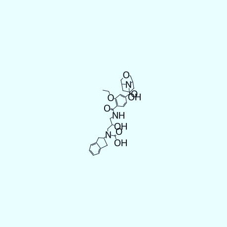 CCOc1cc(C(=O)N2C3COCC2CC(O)C3)ccc1C(=O)NCC(O)CN(C(=O)O)C1Cc2ccccc2C1